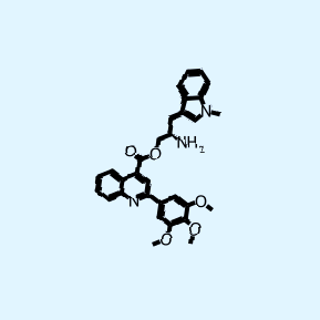 COc1cc(-c2cc(C(=O)OC[C@H](N)Cc3cn(C)c4ccccc34)c3ccccc3n2)cc(OC)c1OC